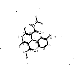 COC(=O)C1=C(C)NC(C)=C(C(=O)OC(C)C)C1c1cccc(N)c1